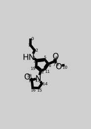 CCCNc1cc(C(=O)OC)cc(N2CCCC2=O)c1